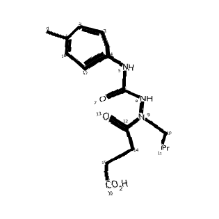 Cc1ccc(NC(=O)NN(CC(C)C)C(=O)CCC(=O)O)cc1